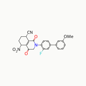 COc1cccc(-c2ccc(N3CC(=O)C4=C(C3=O)C(C#N)CCC4[N+](=O)[O-])c(F)c2)c1